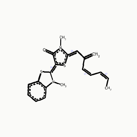 C=C(/C=C\C=C/C)/C=c1\s/c(=C2/Sc3ccccc3N2C)c(=O)n1C